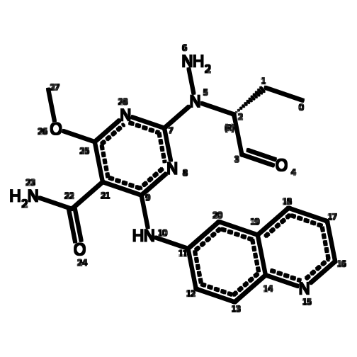 CC[C@H](C=O)N(N)c1nc(Nc2ccc3ncccc3c2)c(C(N)=O)c(OC)n1